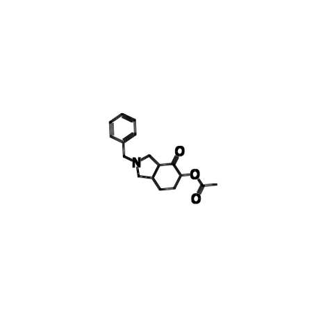 CC(=O)OC1CCC2CN(Cc3ccccc3)CC2C1=O